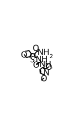 COc1ccc(NC(=O)Nc2sc3c(c2C(N)=O)CCOC3)c(OC)n1